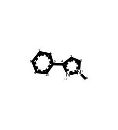 Cn1ccc(-c2[c]cccc2)n1